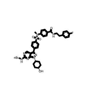 CCCCNc1ncc2c(-c3ccc(S(=O)(=O)N(C)c4ccc(C(=O)NCCc5ccc(F)cc5)cc4)cc3)nn([C@H]3CC[C@@H](O)CC3)c2n1